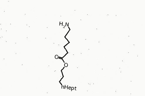 CCCCCCCCCCOC(=O)CCCCCN